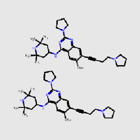 COc1cc2c(NC3CC(C)(C)NC(C)(C)C3)nc(N3CCCC3)nc2cc1C#CCCN1CCCC1.COc1cc2c(NC3CC(C)(C)NC(C)(C)C3)nc(N3CCCC3)nc2cc1C#CCCN1CCCC1